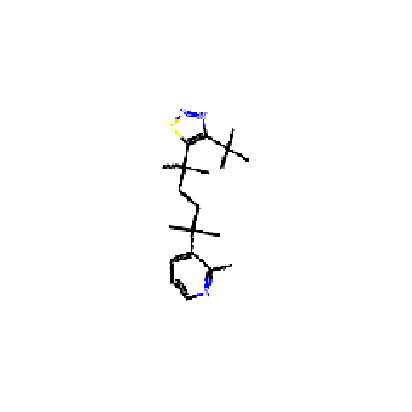 Cc1ncccc1C(C)(C)CCC(C)(C)c1snnc1C(C)(C)C